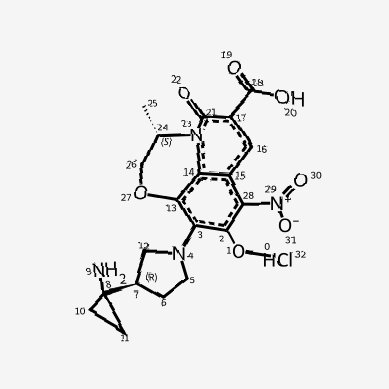 COc1c(N2CC[C@@H](C3(N)CC3)C2)c2c3c(cc(C(=O)O)c(=O)n3[C@@H](C)CO2)c1[N+](=O)[O-].Cl